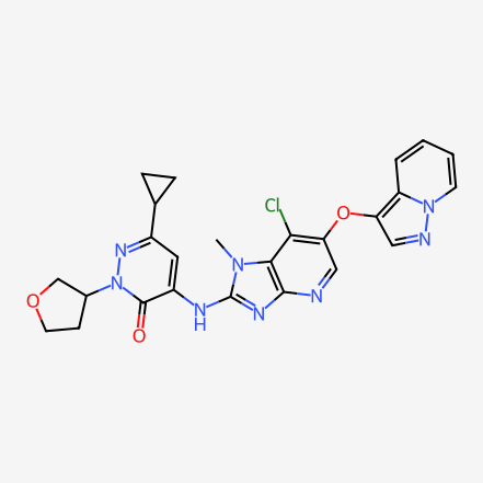 Cn1c(Nc2cc(C3CC3)nn(C3CCOC3)c2=O)nc2ncc(Oc3cnn4ccccc34)c(Cl)c21